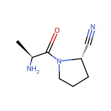 C[C@H](N)C(=O)N1CCC[C@H]1C#N